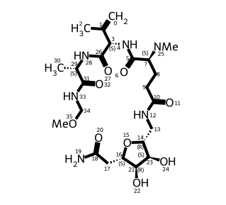 C=C(C)[C@H](NC(=O)[C@H](CCC(=O)NC[C@H]1O[C@@H](CC(N)=O)[C@H](O)[C@@H]1O)NC)C(=O)N[C@@H](C)C(=O)NCOC